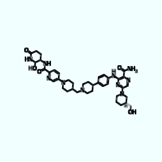 NC(=O)c1ncc(N2CCC[C@@H](CO)C2)nc1Nc1ccc(C2CCN(CC3CCN(c4ccc(C(=O)NC5CCC(=O)NC5O)nc4)CC3)CC2)cc1